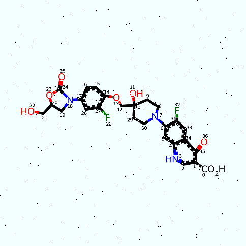 O=C(O)c1c[nH]c2cc(N3CCC(O)(COc4ccc(N5CC(CO)OC5=O)cc4F)CC3)c(F)cc2c1=O